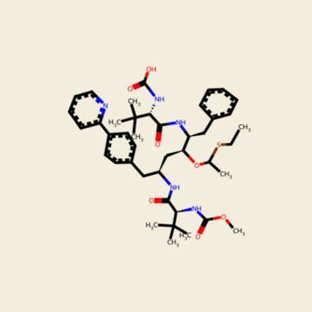 CCSC(C)O[C@@H](C[C@H](Cc1ccc(-c2ccccn2)cc1)NC(=O)[C@@H](NC(=O)OC)C(C)(C)C)[C@H](Cc1ccccc1)NC(=O)[C@@H](NC(=O)O)C(C)(C)C